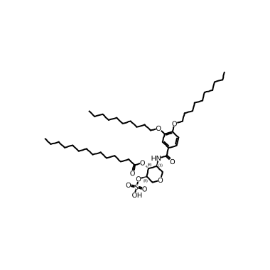 CCCCCCCCCCCCCC(=O)O[C@@H]1[C@@H](NC(=O)c2ccc(OCCCCCCCCCC)c(OCCCCCCCCCC)c2)COC[C@H]1OS(=O)(=O)O